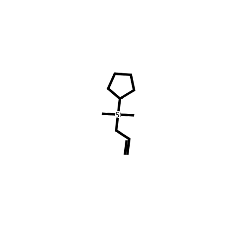 C=CC[Si](C)(C)[C]1CCCC1